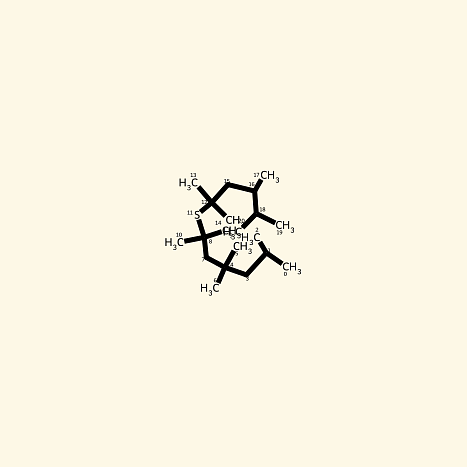 CC(C)CC(C)(C)CC(C)(C)SC(C)(C)CC(C)C(C)C